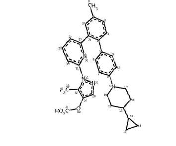 Cc1ccc(-c2ccc(N3CCC(C4CC4)CC3)cc2)c(-c2cccc(-n3ncc(OC(=O)O)c3C(F)(F)F)n2)c1